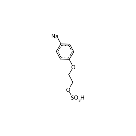 O=S(=O)(O)OCCOc1cc[c]([Na])cc1